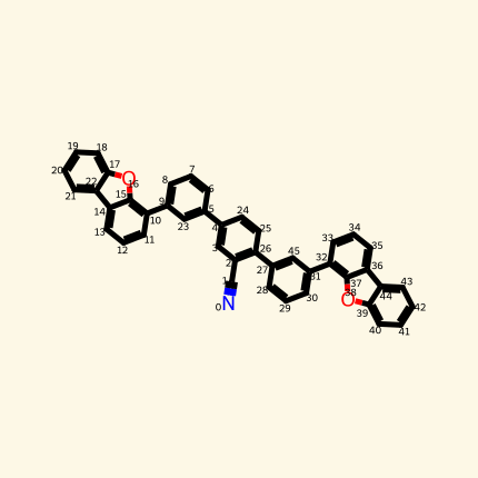 N#Cc1cc(-c2cccc(-c3cccc4c3oc3ccccc34)c2)ccc1-c1cccc(-c2cccc3c2oc2ccccc23)c1